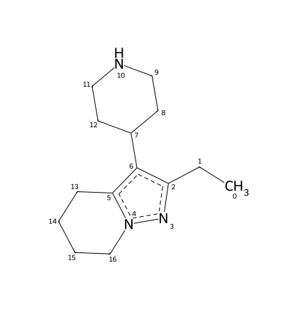 CCc1nn2c(c1C1CCNCC1)CCCC2